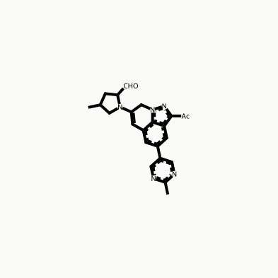 CC(=O)c1nn2c3c(cc(-c4cnc(C)nc4)cc13)C=C(N1CC(C)CC1C=O)C2